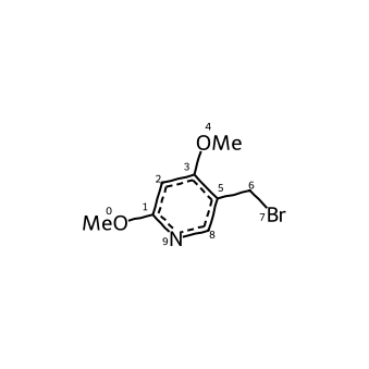 COc1cc(OC)c(CBr)cn1